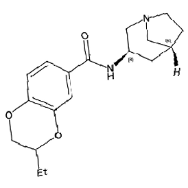 CCC1COc2ccc(C(=O)N[C@@H]3C[C@H]4CCN(C4)C3)cc2O1